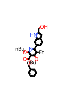 CCCCOc1nc(-c2ccc3cc(CO)[nH]c3c2)c(CC)c(OCCCC)c1C(=O)OCc1ccccc1